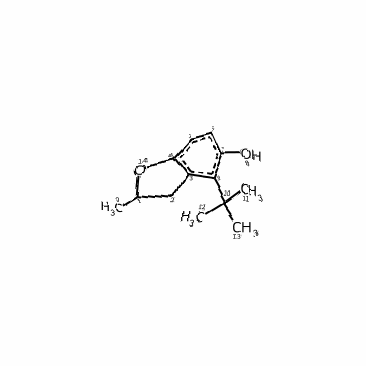 CC1Cc2c(ccc(O)c2C(C)(C)C)O1